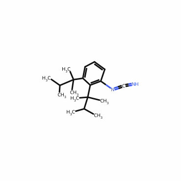 CC(C)C(C)(C)c1cccc(N=C=N)c1C(C)(C)C(C)C